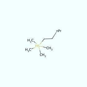 CCCCC[SH](C)(C)(C)C